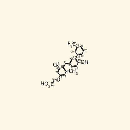 Cc1cc(OCC(=O)O)cc(Cl)c1Cc1ccc(O)c(-c2cccc(C(F)(F)F)c2)c1